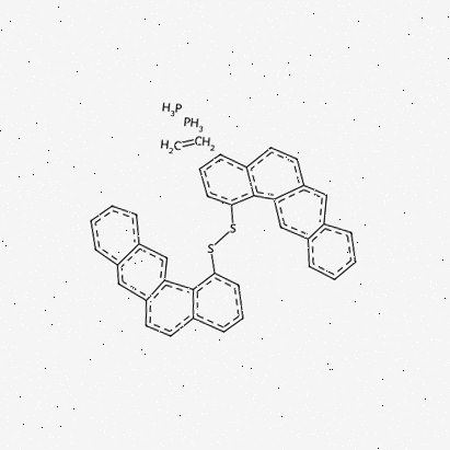 C=C.P.P.c1ccc2cc3c(ccc4cccc(SSc5cccc6ccc7cc8ccccc8cc7c56)c43)cc2c1